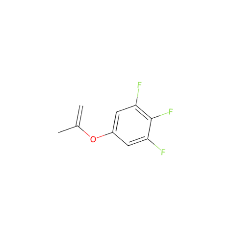 C=C(C)Oc1cc(F)c(F)c(F)c1